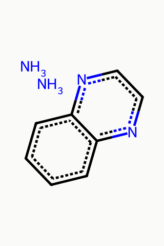 N.N.c1ccc2nccnc2c1